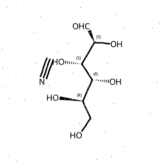 C#N.O=C[C@@H](O)[C@@H](O)[C@H](O)[C@H](O)CO